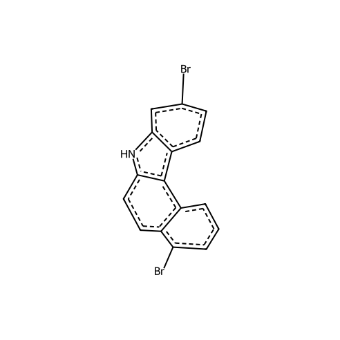 Brc1ccc2c(c1)[nH]c1ccc3c(Br)cccc3c12